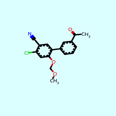 COCOc1cc(Cl)c(C#N)cc1-c1cccc(C(C)=O)c1